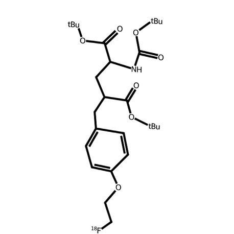 CC(C)(C)OC(=O)NC(CC(Cc1ccc(OCC[18F])cc1)C(=O)OC(C)(C)C)C(=O)OC(C)(C)C